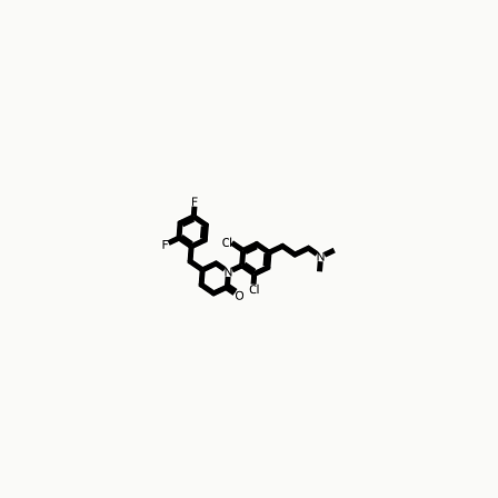 CN(C)CCCc1cc(Cl)c(N2CC(Cc3ccc(F)cc3F)CCC2=O)c(Cl)c1